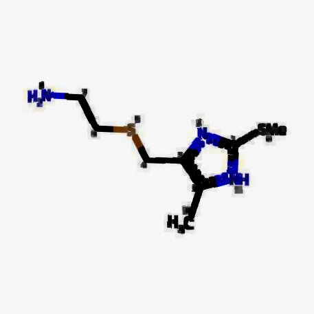 CSc1nc(CSCCN)c(C)[nH]1